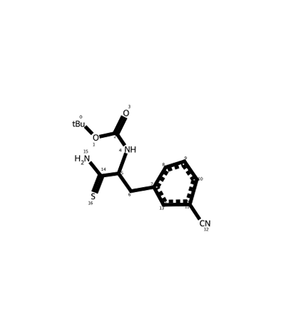 CC(C)(C)OC(=O)NC(Cc1cccc(C#N)c1)C(N)=S